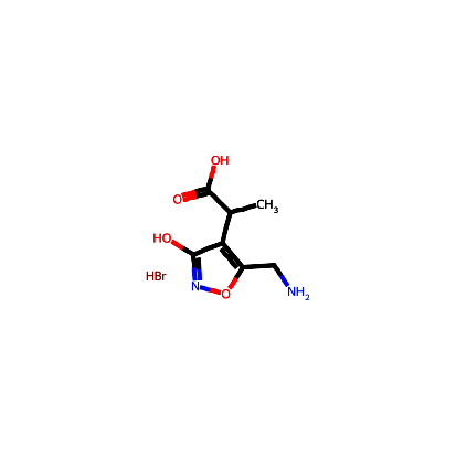 Br.CC(C(=O)O)c1c(O)noc1CN